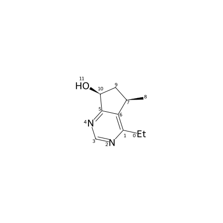 CCc1ncnc2c1[C@H](C)C[C@@H]2O